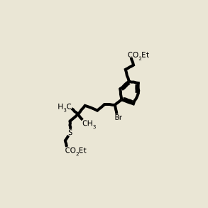 CCOC(=O)CCc1cccc(C(Br)CCCC(C)(C)CSCC(=O)OCC)c1